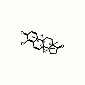 C[C@]12C=CC(=O)C(Cl)=C1C=C[C@@H]1[C@@H]2CC[C@]2(C)C(=O)CC[C@@H]12